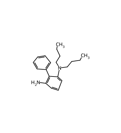 CCCCN(CCCC)c1cccc(N)c1-c1ccccc1